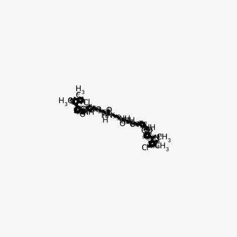 Cc1cc(Cl)cc2c1CN(C)CC2c1cccc(S(=O)(=O)N[C@H]2CCN(CCOCCNC(=O)NCCCCNC(=O)NCCOCCN3CC[C@H](NS(=O)(=O)c4cccc(C5CN(C)Cc6c(C)cc(Cl)cc65)c4)C3)C2)c1